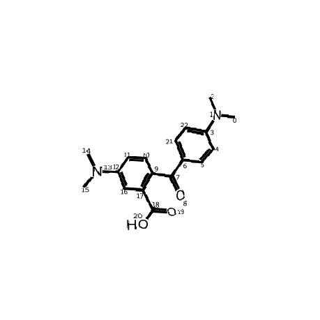 CN(C)c1ccc(C(=O)c2ccc(N(C)C)cc2C(=O)O)cc1